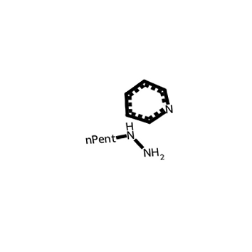 CCCCCNN.c1ccncc1